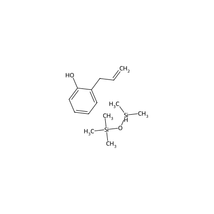 C=CCc1ccccc1O.C[SiH](C)O[Si](C)(C)C